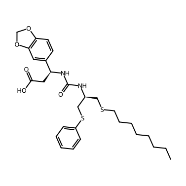 CCCCCCCCSC[C@@H](CSc1ccccc1)NC(=O)N[C@@H](CC(=O)O)c1ccc2c(c1)OCO2